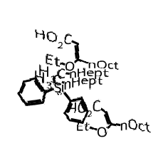 CCCCCCCC.CCCCCCCC.CCCCCCCCC(=CC(=O)O)OCC.CCCCCCCCC(=CC(=O)O)OCC.c1ccc([Si]c2ccccc2)cc1